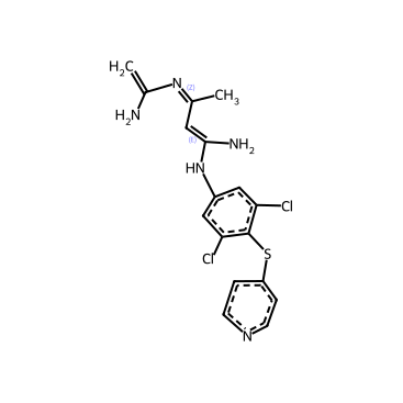 C=C(N)/N=C(C)\C=C(/N)Nc1cc(Cl)c(Sc2ccncc2)c(Cl)c1